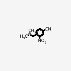 CN(C)Cc1ccc(C#N)cc1[N+](=O)[O-]